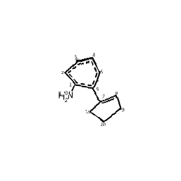 Nc1ccccc1C1=CCCC1